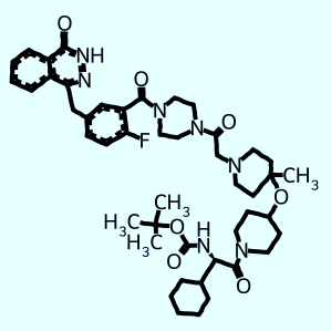 CC(C)(C)OC(=O)N[C@@H](C(=O)N1CCC(OC2(C)CCN(CC(=O)N3CCN(C(=O)c4cc(Cc5n[nH]c(=O)c6ccccc56)ccc4F)CC3)CC2)CC1)C1CCCCC1